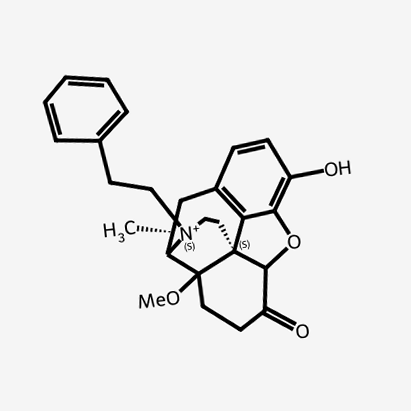 COC12CCC(=O)C3Oc4c(O)ccc5c4[C@@]31CC[N@+](C)(CCc1ccccc1)C2C5